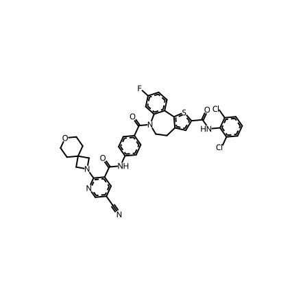 N#Cc1cnc(N2CC3(CCOCC3)C2)c(C(=O)Nc2ccc(C(=O)N3CCc4cc(C(=O)Nc5c(Cl)cccc5Cl)sc4-c4ccc(F)cc43)cc2)c1